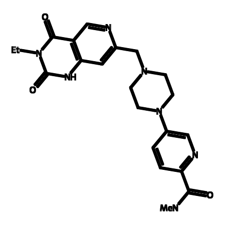 CCn1c(=O)[nH]c2cc(CN3CCN(c4ccc(C(=O)NC)nc4)CC3)ncc2c1=O